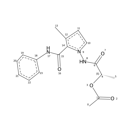 CC(=O)O[C@@H](C)C(=O)Nn1ccc(C)c1C(=O)Nc1ccccc1